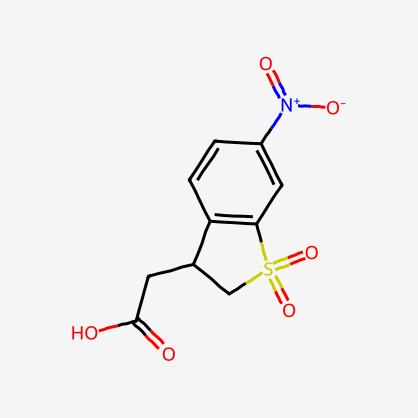 O=C(O)CC1CS(=O)(=O)c2cc([N+](=O)[O-])ccc21